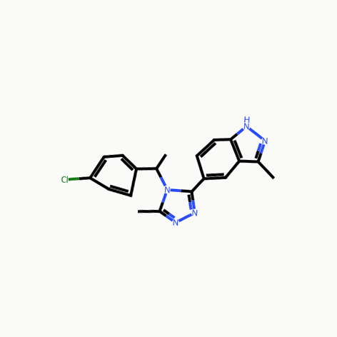 Cc1n[nH]c2ccc(-c3nnc(C)n3C(C)c3ccc(Cl)cc3)cc12